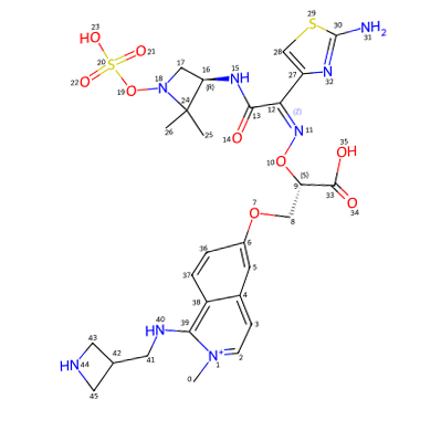 C[n+]1ccc2cc(OC[C@H](O/N=C(\C(=O)N[C@@H]3CN(OS(=O)(=O)O)C3(C)C)c3csc(N)n3)C(=O)O)ccc2c1NCC1CNC1